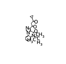 CC(C)(C)n1c(=O)c2c(C(=O)CC(=O)C3CC3)ncn2c2ccccc21